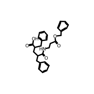 O=C(CCNC(=O)C(Cc1ccccc1)CC(Cc1ccccc1)C(=O)O)OCc1ccccc1